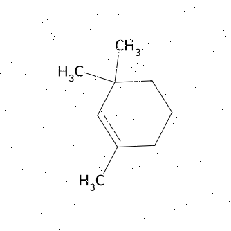 CC1=CC(C)(C)CCC1